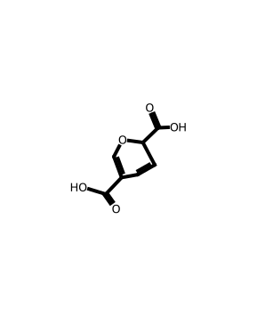 O=C(O)C1=COC(C(=O)O)C=C1